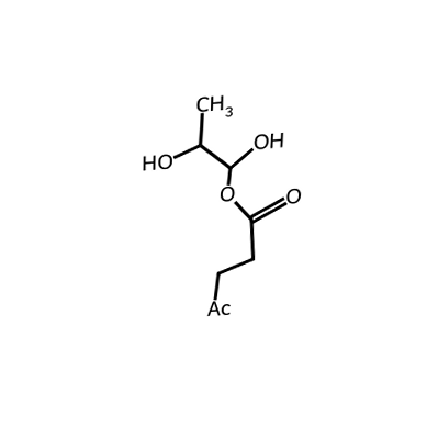 CC(=O)CCC(=O)OC(O)C(C)O